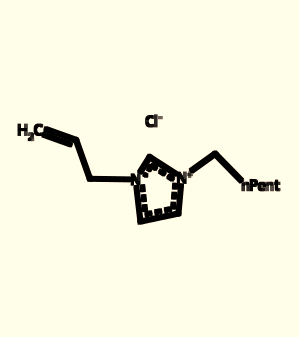 C=CCn1cc[n+](CCCCCC)c1.[Cl-]